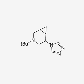 CC(C)(C)N1CC2CC2C(n2cnnc2)C1